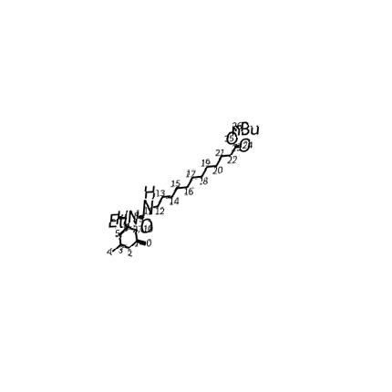 C=C1CC(C)CC(CC)(NC(=O)NCCCCCCCCCCCC(=O)OCCCC)C1